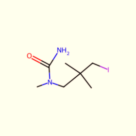 CN(CC(C)(C)CI)C(N)=O